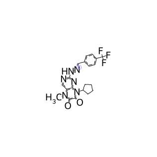 Cn1c(=O)c(=O)n(C2CCCC2)c2nc(N/N=C/c3ccc(C(F)(F)F)cc3)ncc21